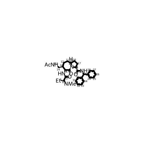 CC[C@H](NC)C(=O)N[C@@H]1C(=O)N2[C@@H](CC[C@@H]1CNC(C)=O)CC[C@H]2C(=O)NC(c1ccccc1)c1ccccc1